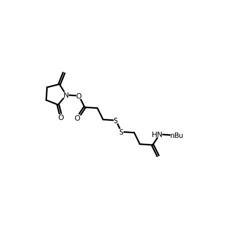 C=C(CCSSCCC(=O)ON1C(=C)CCC1=O)NCCCC